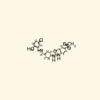 CS(=O)(=O)c1ccc(NC(=O)NC2CCC(CN=Cc3cc(Cl)ccc3O)CC2)cc1